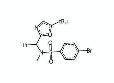 CC(C)C(c1ncc(C(C)(C)C)o1)N(C)S(=O)(=O)c1ccc(Br)cc1